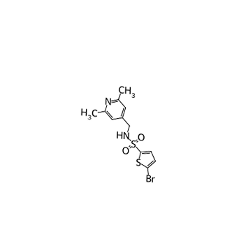 Cc1cc(CNS(=O)(=O)c2ccc(Br)s2)cc(C)n1